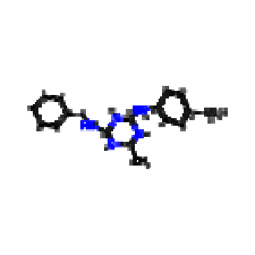 Cc1nc(NCc2ccccc2)nc(Nc2ccc(S(=O)(=O)O)cc2)n1